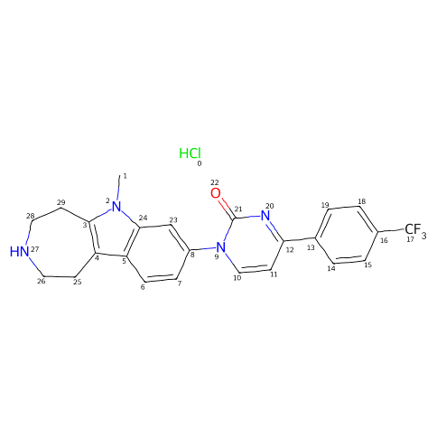 Cl.Cn1c2c(c3ccc(-n4ccc(-c5ccc(C(F)(F)F)cc5)nc4=O)cc31)CCNCC2